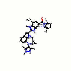 COc1cc(C(=O)N2C[C@H]3CC[C@@H]2[C@@H]3N)cc2nc(-c3cc4cccc(Nc5c(C)nn(C)c5C)c4n3CC3CC3)n(C)c12